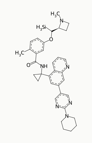 Cc1ccc(OC([SiH3])[C@@H]2CCN2C)cc1C(=O)NC1(c2cc(-c3cnc(N4CCCCC4)nc3)cc3ncccc23)CC1